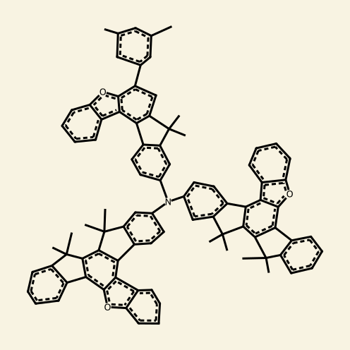 Cc1cc(C)cc(-c2cc3c(c4c2oc2ccccc24)-c2ccc(N(c4ccc5c(c4)C(C)(C)c4c6c(c7oc8ccccc8c7c4-5)-c4ccccc4C6(C)C)c4ccc5c(c4)C(C)(C)c4c6c(c7oc8ccccc8c7c4-5)-c4ccccc4C6(C)C)cc2C3(C)C)c1